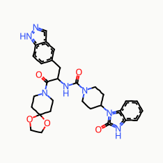 O=C(NC(Cc1ccc2[nH]ncc2c1)C(=O)N1CCC2(CC1)OCCO2)N1CCC(n2c(=O)[nH]c3ccccc32)CC1